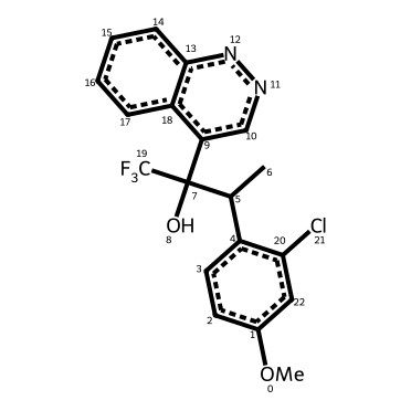 COc1ccc(C(C)C(O)(c2cnnc3ccccc23)C(F)(F)F)c(Cl)c1